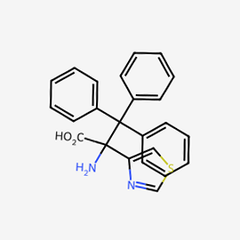 NC(C(=O)O)(c1cscn1)C(c1ccccc1)(c1ccccc1)c1ccccc1